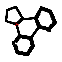 c1cnc2c(c1)-c1ncccc1C13CCCC21CC3